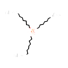 CCCCCCCCCCCCCCCCCCOP(=O)(OCCCCCCCCCCCCCCCCCC)OCCCCCCCCCCCCCCCCCC